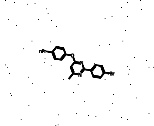 CCCc1ccc(Oc2cc(C)nc(-c3ccc(Br)cc3)n2)cc1